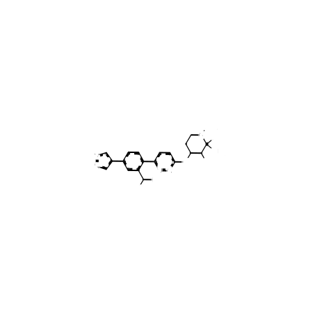 CC1C(Oc2ccc(-c3ccc(-c4cn[nH]c4)cc3C(F)F)nn2)CCN(C)C1(C)C